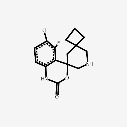 O=C1Nc2ccc(Cl)c(F)c2C2(CNCC3(CCC3)C2)O1